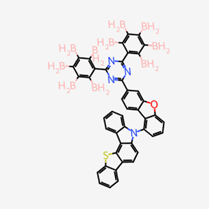 Bc1c(B)c(B)c(-c2nc(-c3ccc4c(c3)oc3cccc(-n5c6ccccc6c6c7sc8ccccc8c7ccc65)c34)nc(-c3c(B)c(B)c(B)c(B)c3B)n2)c(B)c1B